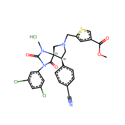 COC(=O)c1csc(CN2C[C@@H](c3ccc(C#N)cc3)[C@]3(C2)C(=O)N(c2cc(Cl)cc(Cl)c2)C(=O)N3C)c1.Cl